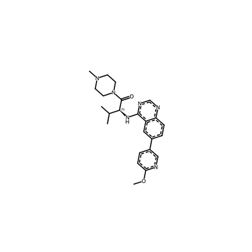 COc1ccc(-c2ccc3ncnc(N[C@H](C(=O)N4CCN(C)CC4)C(C)C)c3c2)cn1